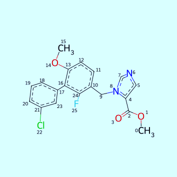 COC(=O)c1cncn1Cc1ccc(OC)c(-c2cccc(Cl)c2)c1F